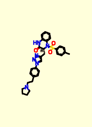 Cc1ccc(S(=O)(=O)N2c3ccccc3NC(=O)[C@H]2Cc2cn(-c3ccc(CCN4CCCC4)cc3)nn2)cc1